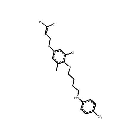 Cc1cc(OCC=C(Cl)Cl)cc(Cl)c1OCCCCNc1ccc(C(F)(F)F)cc1